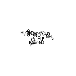 CS(=O)(=O)N1CCc2c(c(-c3ccc(C(F)(F)F)c(SCCN4CCCC(F)C4)c3)nn2C[C@@H](O)CN2CCC(C(N)=O)CC2)C1